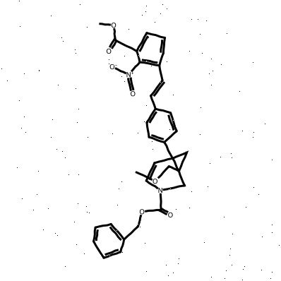 COCC12CN(C(=O)OCc3ccccc3)C=CC1(c1ccc(/C=C/c3cccc(C(=O)OC)c3[N+](=O)[O-])cc1)C2